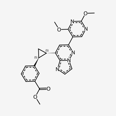 COC(=O)c1cccc([C@H]2C[C@@H]2c2cc(-c3cnc(OC)nc3OC)nn3ccnc23)c1